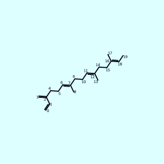 C=CC(=C)CC/C=C(\C)CC/C=C(\C)CC/C(C)=C/C